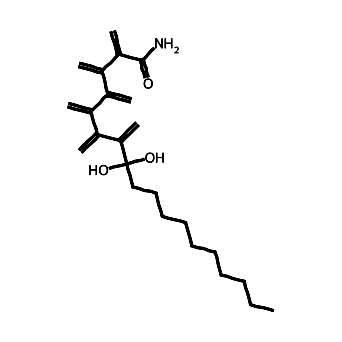 C=C(C(=C)C(=C)C(=C)C(O)(O)CCCCCCCCCC)C(=C)C(=C)C(N)=O